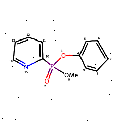 COP(=O)(Oc1ccccc1)c1ccccn1